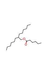 CCCCCCC(CCCCCC)COC(=O)CCCCC